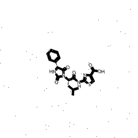 CC(C)C[C@@H](C(=O)Nc1nc(C(=O)O)cs1)N1C(=O)N[C@H](c2ccccc2)C1=O